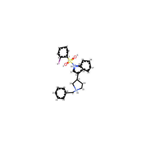 O=S(=O)(c1ccccc1I)n1cc(C2CCN(Cc3ccccc3)C2)c2ccccc21